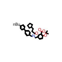 CCCCc1ccc(-c2ccc(CN(Cc3ccc4c(c3)C(=O)OC(C)(C)O4)C(=O)CCC3CCCC3)cc2)cc1